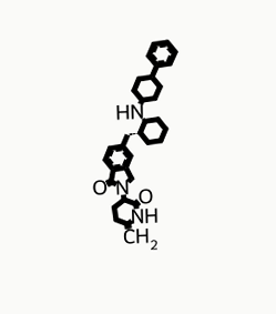 C=C1CCC(N2Cc3cc(C[C@H]4CCCC[C@@H]4NC4CCC(c5ccccc5)CC4)ccc3C2=O)C(=O)N1